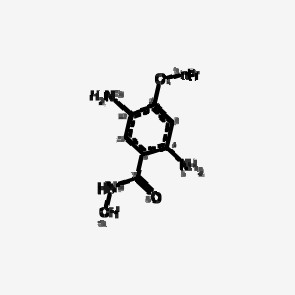 CCCOc1cc(N)c(C(=O)NO)cc1N